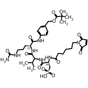 CC(C)C(NC(=O)[C@H](CS(=O)(=O)O)NC(=O)CCCCCN1C(=O)C=CC1=O)C(=O)N[C@@H](CCCNC(N)=O)C(=O)Nc1ccc(COC(=O)C(C)(C)C)cc1